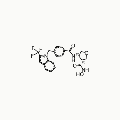 O=C(N[C@@H]1COC[C@@H]1C(=O)NO)c1ccc(Cn2c(C(F)(F)F)cc3ccccc32)cc1